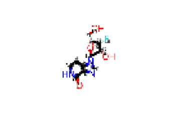 O=c1[nH]ccc2c1ncn2C1O[C@H](CO)[C@H](F)[C@H]1O